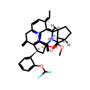 C=C1CC(\C=C/C(=C\C)C(/C=N\C(=C)N2C[C@H]3CC[C@@H](C2)[C@@H]3C(=O)OC)=C\C)=NC2=C1[C@H](c1ccccc1OC(F)F)C[C@@H]2O